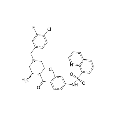 C[C@H]1CN(Cc2ccc(Cl)c(F)c2)CCN1C(=O)c1ccc(NS(=O)(=O)c2cccc3cccnc23)cc1Cl